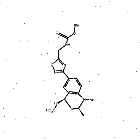 CC(=O)N1c2ccc(-c3noc(CNC(=O)OC(C)(C)C)n3)cc2[C@H](NC(=O)O)C[C@@H]1C